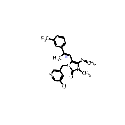 C=Nc1c(/C=C(\C)c2cccc(C(F)(F)F)c2)n(Cc2cncc(Cl)c2)c(=O)n1C